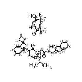 CC(C)Nc1ncc(NCC2(c3ccccc3)CCC2)c(=O)n1CC(=O)NCc1cc2cnccc2[nH]1.O=C(O)C(F)(F)F.O=C(O)C(F)(F)F